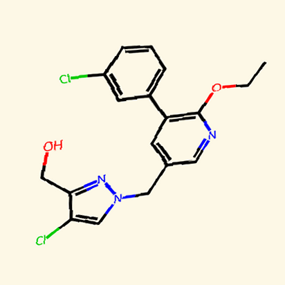 CCOc1ncc(Cn2cc(Cl)c(CO)n2)cc1-c1cccc(Cl)c1